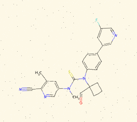 Cc1cc(N(C)C(=S)N(c2ccc(-c3cncc(F)c3)cc2)C2(C=O)CCC2)cnc1C#N